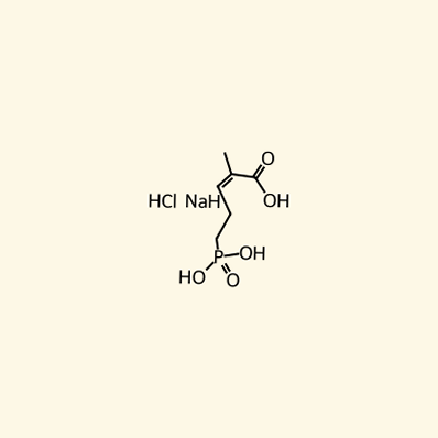 CC(=CCCP(=O)(O)O)C(=O)O.Cl.[NaH]